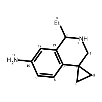 CCC1NCC2(CC2)c2ccc(N)cc21